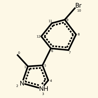 Cc1n[nH]cc1-c1ccc(Br)cc1